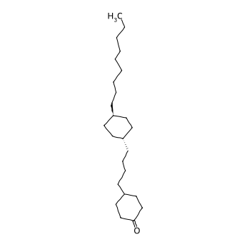 CCCCCCCCC[C@H]1CC[C@H](CCCCC2CCC(=O)CC2)CC1